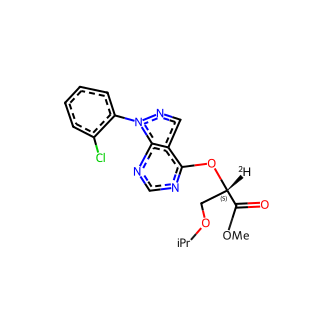 [2H][C@@](COC(C)C)(Oc1ncnc2c1cnn2-c1ccccc1Cl)C(=O)OC